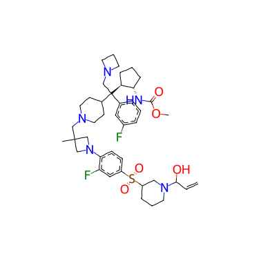 C=CC(O)N1CCCC(S(=O)(=O)c2ccc(N3CC(C)(CN4CCC(C(CN5CCC5)(c5cccc(F)c5)[C@H]5CCC[C@@H]5NC(=O)OC)CC4)C3)c(F)c2)C1